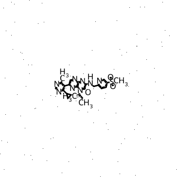 CC[C@H](C)n1c(=O)c(NCc2ccc(S(C)(=O)=O)cn2)nc2ncc(-c3c(C)ncnc3C3CC3)nc21